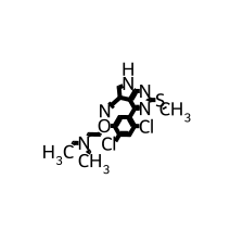 CCN(CC)CCOc1cc(-c2nc(SC)nc3c2C(C#N)CN3)c(Cl)cc1Cl